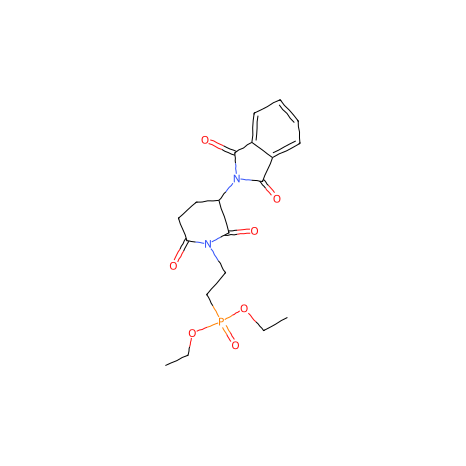 CCOP(=O)(CCN1C(=O)CCC(N2C(=O)c3ccccc3C2=O)C1=O)OCC